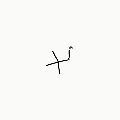 [CH2]C(C)(C)SC(C)C